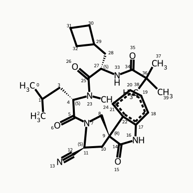 CC(C)C[C@@H](C(=O)N1C[C@]2(C[C@H]1C#N)C(=O)Nc1ccccc12)N(C)C(=O)[C@H](CC1CCC1)NC(=O)C(C)(C)C